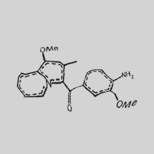 COc1cc(C(=O)c2c(C)c(OC)c3cc[c]cn23)ccc1N